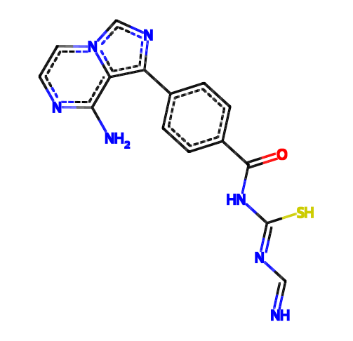 N=C/N=C(\S)NC(=O)c1ccc(-c2ncn3ccnc(N)c23)cc1